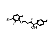 OC(c1ccc(F)cc1)C(F)CCOc1c(F)ccc(Br)c1F